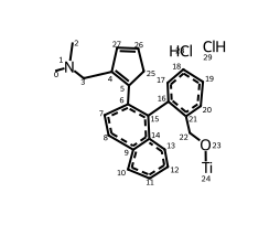 CN(C)CC1=C(c2ccc3ccccc3c2-c2ccccc2C[O][Ti])CC=C1.Cl.Cl